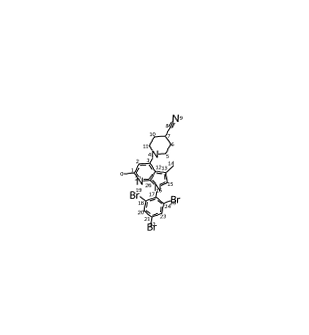 Cc1cc(N2CCC(C#N)CC2)c2c(C)cn(-c3c(Br)cc(Br)cc3Br)c2n1